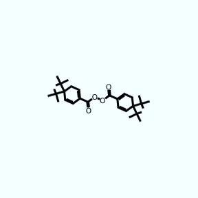 CC(C)(C)C1(C(C)(C)C)C=CC(C(=O)OOC(=O)C2=CCC(C(C)(C)C)(C(C)(C)C)C=C2)=CC1